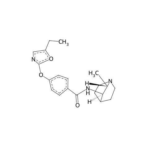 CCc1cnc(Oc2ccc(C(=O)N[C@@H]3C4CCN(CC4)[C@H]3C)cc2)o1